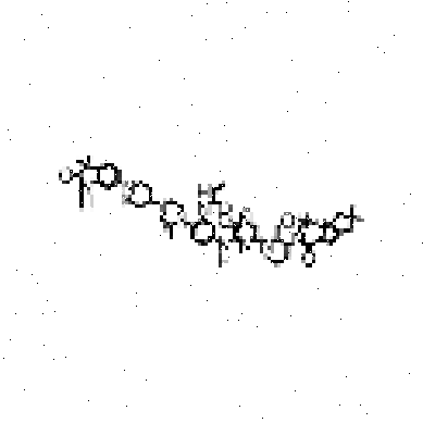 C=CC(=O)Nc1cc(Nc2nc(N3CCCC(N4CCn5c(cc6c5CC(C)(C)C6)C4=O)C3CO)cn(C)c2=O)ccc1N1CCN(C2CCN(c3ccc4c(c3)NC(=O)C4(C)C)[C@@H](C)C2)C[C@@H]1C